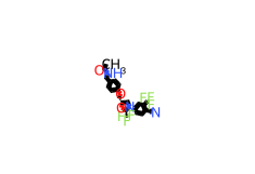 CC(=O)NCc1ccc(OC[C@@H]2CN(c3ccc(C#N)c(C(F)(F)F)c3)[C@@H](C(F)(F)F)O2)cc1